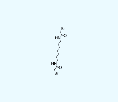 O=C(CBr)NCCCCCCCNC(=O)CBr